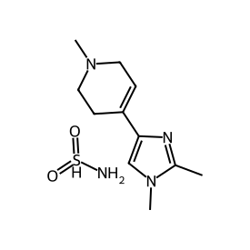 Cc1nc(C2=CCN(C)CC2)cn1C.N[SH](=O)=O